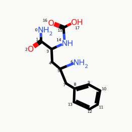 NC(=O)C(CC(N)Cc1ccccc1)NC(=O)O